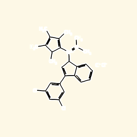 CC1=C(C)C(C)[C]([Zr+2]([CH]2C=C(c3cc(Cl)cc(Cl)c3)c3ccccc32)=[Si](C)C)=C1C.[Cl-].[Cl-]